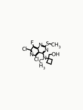 CSc1nc(N(C)C2(CO)CCC2)c2c(Cl)nc(Cl)c(F)c2n1